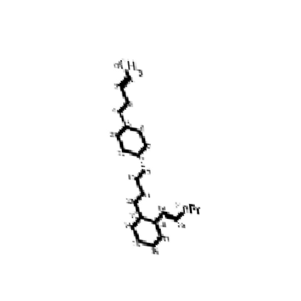 CC=CCC[C@H]1CC[C@H](CCCCC2CCCCC2C=CCCC)CC1